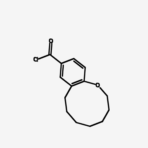 O=C(Cl)c1ccc2c(c1)CCCCCCCO2